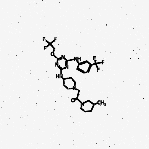 CC1CCCN(C(=O)CN2CCC(Nc3nc(Nc4cccc(C(F)(F)F)c4)nc(OCC(F)(F)F)n3)CC2)C1